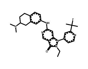 CCn1c(=O)c2cnc(Nc3ccc4c(c3)CC(N(C)C)CC4)cc2n1-c1ccnc(C(C)(C)F)c1